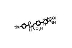 CC(C)(C)c1ccc(C(=O)N[C@@H](Cc2ccc(-c3ncc(C(=N)NO)cn3)cc2)C(=O)O)cc1